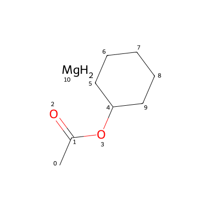 CC(=O)OC1CCCCC1.[MgH2]